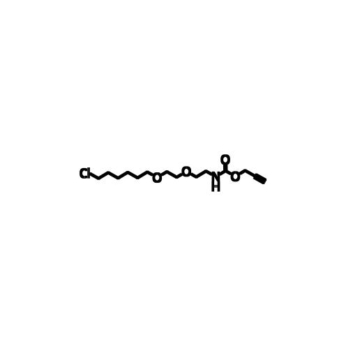 C#CCOC(=O)NCCOCCOCCCCCCCl